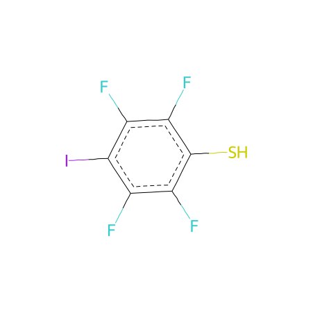 Fc1c(F)c(I)c(F)c(F)c1S